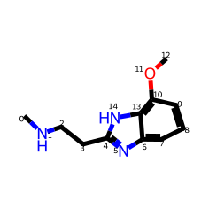 CNCCc1nc2cccc(OC)c2[nH]1